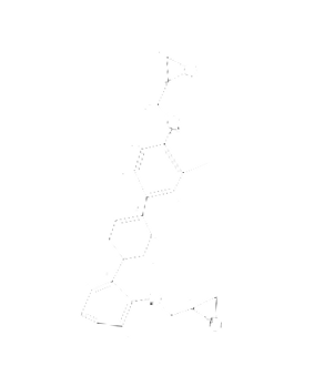 Cc1cc(C2=CCC(c3ccccc3OCC3CO3)CC2)ccc1OCC1CO1